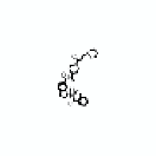 CN(C(=O)c1ccc2c(c1)[C@H](NC(=O)c1ccccc1Cl)CC2)C1CCN(C(=O)CCN2CCCCC2)CC1